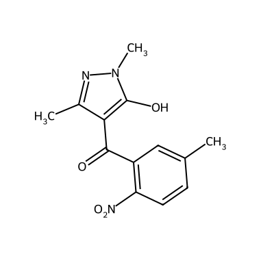 Cc1ccc([N+](=O)[O-])c(C(=O)c2c(C)nn(C)c2O)c1